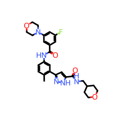 Cc1ccc(NC(=O)c2cc(F)cc(N3CCOCC3)c2)cc1-c1cc(C(=O)NCC2CCOCC2)[nH]n1